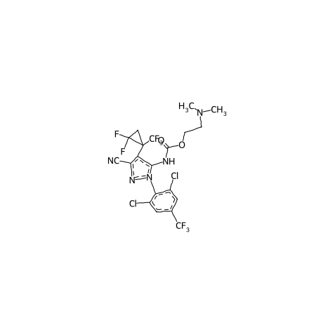 CN(C)CCOC(=O)Nc1c(C2(C(F)(F)F)CC2(F)F)c(C#N)nn1-c1c(Cl)cc(C(F)(F)F)cc1Cl